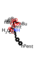 CCCCCc1ccc(-c2ccc(CCCCC(=O)N[C@@H](COC3OC(COCCCC)C(OCCCC)C(OCCCC)C3OCCCC)[C@@H]3OC(C)(C)O[C@@H]3C(C)CCC)cc2)cc1